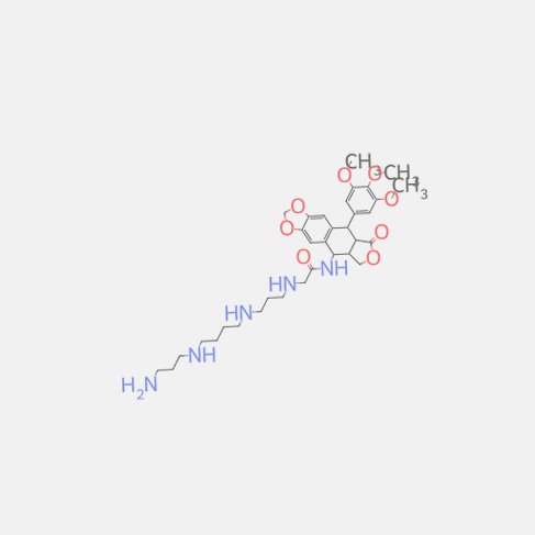 COc1cc(C2c3cc4c(cc3C(NC(=O)CNCCCNCCCCNCCCN)C3COC(=O)C23)OCO4)cc(OC)c1OC